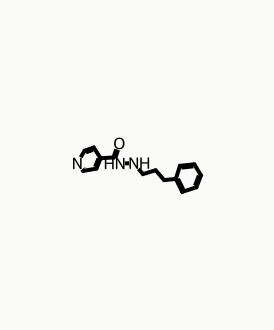 O=C(NNCCCc1ccccc1)c1ccncc1